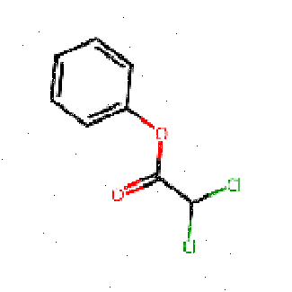 O=C(Oc1ccccc1)C(Cl)Cl